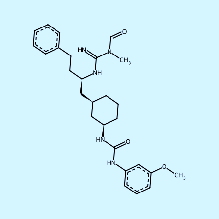 COc1cccc(NC(=O)N[C@@H]2CCC[C@H](C[C@@H](CCc3ccccc3)NC(=N)N(C)C=O)C2)c1